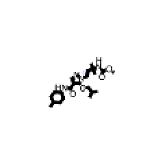 COC(=O)NC(C)(C)/C=C/n1ncc(C(=O)NC2CCC(C)CC2)c1OCC(C)C